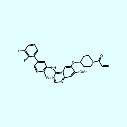 C=CC(=O)N1CCC(Oc2cc3c(Nc4cc(-c5cccc(F)c5F)ccc4C(C)CC)ncnc3cc2OC)CC1